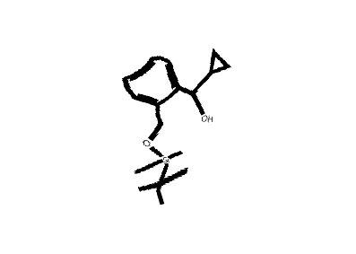 CC(C)(C)[Si](C)(C)OCc1ccccc1C(O)C1CC1